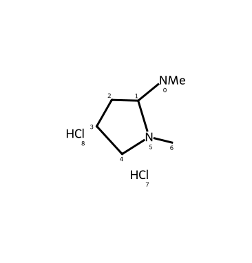 CNC1CCCN1C.Cl.Cl